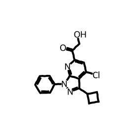 O=C(CO)c1cc(Cl)c2c(C3CCC3)nn(-c3ccccc3)c2n1